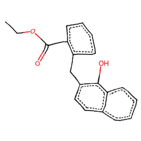 CCOC(=O)c1ccccc1Cc1ccc2ccccc2c1O